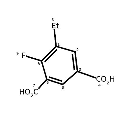 CCc1cc(C(=O)O)cc(C(=O)O)c1F